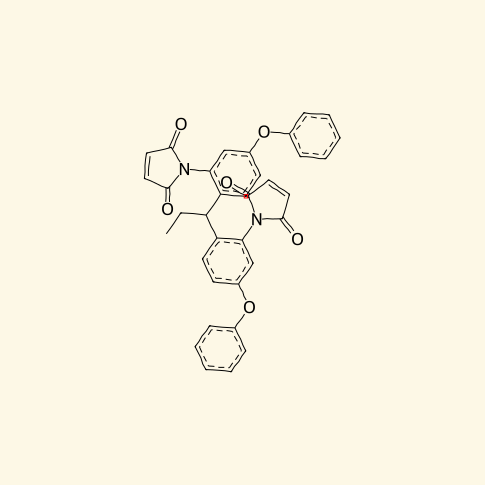 CCC(c1ccc(Oc2ccccc2)cc1N1C(=O)C=CC1=O)c1ccc(Oc2ccccc2)cc1N1C(=O)C=CC1=O